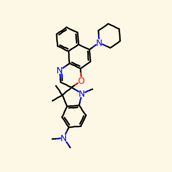 CN(C)c1ccc2c(c1)C(C)(C)C1(C=Nc3c(cc(N4CCCCC4)c4ccccc34)O1)N2C